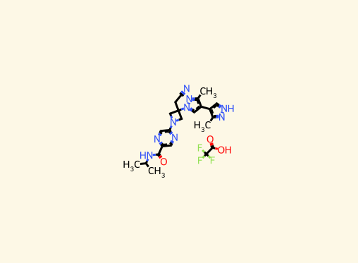 Cc1n[nH]cc1-c1cn(C2(CC#N)CN(c3cnc(C(=O)NC(C)C)cn3)C2)nc1C.O=C(O)C(F)(F)F